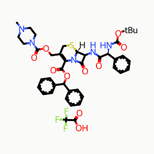 CN1CCN(C(=O)OCC2=C(C(=O)OC(c3ccccc3)c3ccccc3)N3C(=O)C(NC(=O)[C@@H](NC(=O)OC(C)(C)C)c4ccccc4)[C@@H]3SC2)CC1.O=C(O)C(F)(F)F